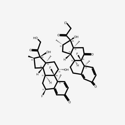 C[C@@H]1C[C@H]2[C@@H]3C[C@H](F)C4=CC(=O)C=C[C@]4(C)[C@@]3(F)[C@@H](O)C[C@]2(C)[C@@]1(O)C(=O)CO.C[C@H]1C[C@H]2[C@@H]3CCC4=CC(=O)C=C[C@]4(C)[C@@]3(F)C(=O)C[C@]2(C)[C@@]1(O)C(=O)CCl